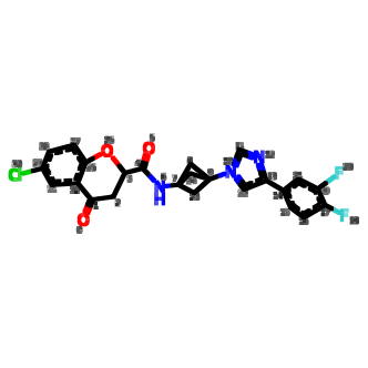 O=C1CC(C(=O)NC23CC(n4cnc(-c5ccc(F)c(F)c5)c4)(C2)C3)Oc2ccc(Cl)cc21